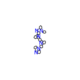 N#Cc1ccccc1N(c1ccccc1)c1ccc2c3cccc4c5cc6c(cc5n(c2c1)c34)c1cccc2c3ccc(N(c4ccccc4)c4ccccc4C#N)cc3n6c21